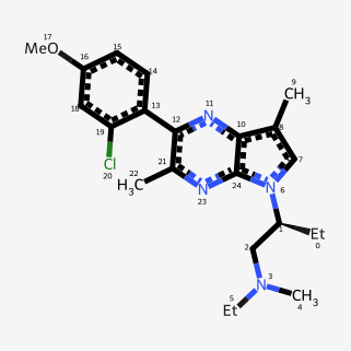 CC[C@@H](CN(C)CC)n1cc(C)c2nc(-c3ccc(OC)cc3Cl)c(C)nc21